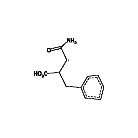 NC(=O)[CH]C(Cc1ccccc1)C(=O)O